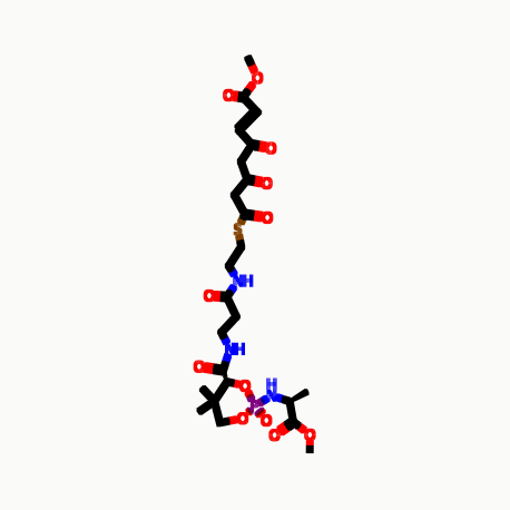 COC(=O)/C=C/C(=O)CC(=O)CC(=O)SCCNC(=O)CCNC(=O)[C@@H]1OP(=O)(N[C@@H](C)C(=O)OC)OCC1(C)C